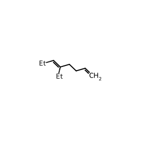 C=CCC/C(=C/CC)CC